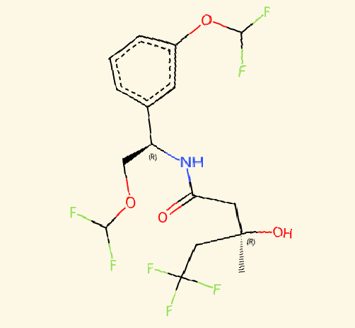 C[C@@](O)(CC(=O)N[C@@H](COC(F)F)c1cccc(OC(F)F)c1)CC(F)(F)F